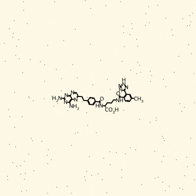 Cc1ccc(C(=O)NCCC[C@H](NC(=O)c2ccc(CCc3cnc4nc(N)nc(N)c4n3)cc2)C(=O)O)c(-c2nn[nH]n2)c1